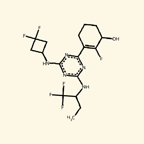 CCC(Nc1nc(NC2CC(F)(F)C2)nc(C2=C(F)C(O)CCC2)n1)C(F)(F)F